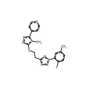 Cc1ccc(F)c(-n2nnc(CCSc3nnc(-c4ccncc4)n3C)n2)c1